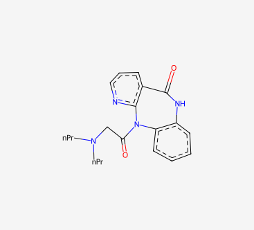 CCCN(CCC)CC(=O)N1c2ccccc2NC(=O)c2cccnc21